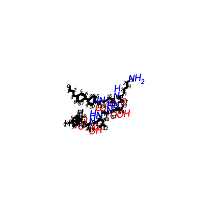 CCCCc1ccc(-c2ccc(C(=O)NCCC(=O)N[C@@H](CCCCN)C(=O)N[C@H](C(=O)N[C@@H](C)C(=O)N[C@@H](CC(C)C)C(=O)N[C@@H](CO)B3OC4C[C@@H]5C[C@@H](C5(C)C)[C@]4(C)O3)[C@@H](C)O)cc2)cc1